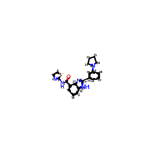 O=C(Nc1nccs1)c1cccc2[nH]c(-c3cccc(N4CCCC4)c3)nc12